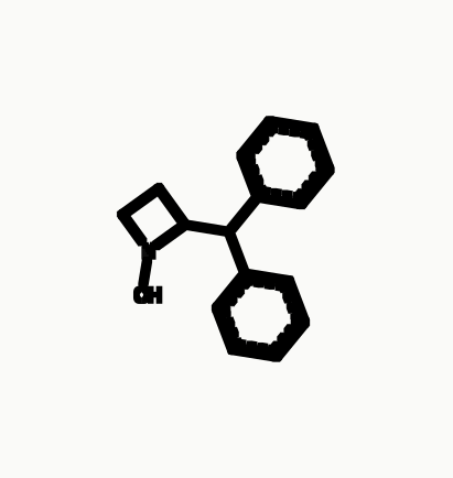 ON1CCC1C(c1ccccc1)c1ccccc1